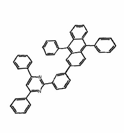 c1ccc(-c2cc(-c3ccccc3)nc(-c3cccc(-c4ccc5c(-c6ccccc6)c6ccccc6c(-c6ccccc6)c5c4)c3)n2)cc1